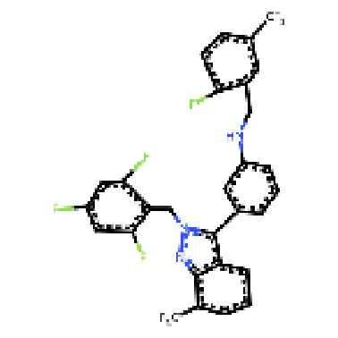 Fc1cc(F)c(Cn2nc3c(C(F)(F)F)cccc3c2-c2cccc(NCc3cc(C(F)(F)F)ccc3F)c2)c(F)c1